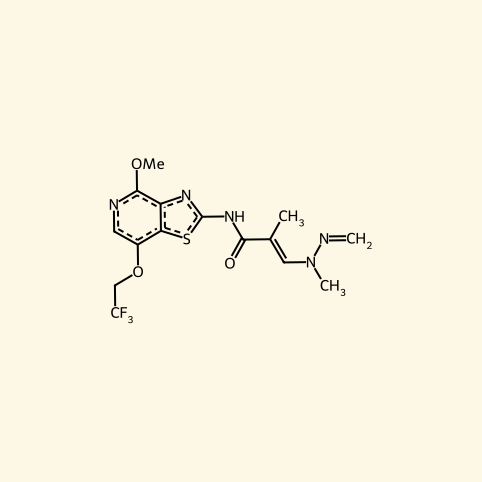 C=NN(C)/C=C(\C)C(=O)Nc1nc2c(OC)ncc(OCC(F)(F)F)c2s1